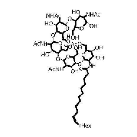 CCCCCC/C=C\CCCCCCCCCC(=O)NC1[C@H](O[C@@H]2C(CO)O[C@@H](O[C@@H]3C(CO)O[C@@H](O[C@@H]4C(CO)O[C@@H](O[C@@H]5C(CO)O[C@@H](O)C(NC(C)=O)[C@H]5O)C(NC(C)=O)[C@H]4O)C(NC(C)=O)[C@H]3O)C(NC(C)=O)[C@H]2O)OC(COC(C)=O)[C@@H](O)[C@@H]1O